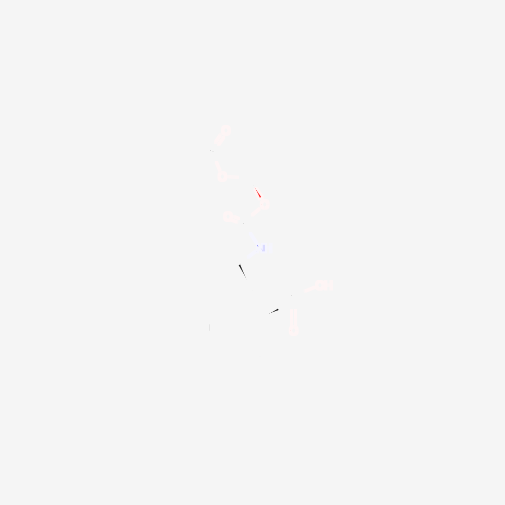 CC1=C[C@@H]2[C@@H](C1)C[C@]2(CNC(=O)O[C@@H](OC(=O)C(C)C)C(C)C)CC(=O)O